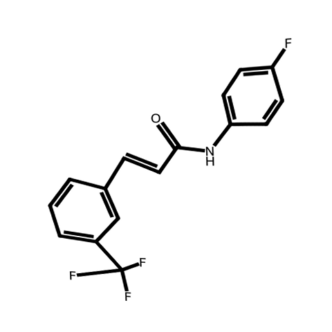 O=C(C=Cc1cccc(C(F)(F)F)c1)Nc1ccc(F)cc1